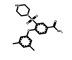 Cc1cc(C)cc(Oc2ccc(C(N)=O)cc2S(=O)(=O)N2CCNCC2)c1